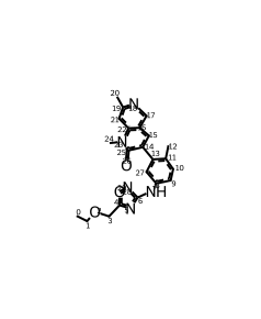 CCOCc1nc(Nc2ccc(C)c(-c3cc4cnc(C)cc4n(C)c3=O)c2)no1